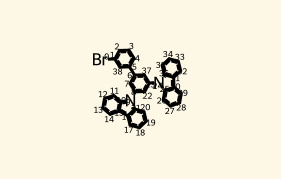 Brc1cccc(-c2cc(-n3c4ccccc4c4ccccc43)cc(-n3c4ccccc4c4ccccc43)c2)c1